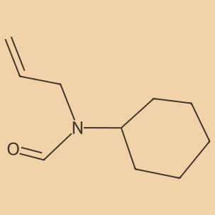 C=CCN(C=O)C1CCCCC1